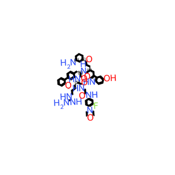 COc1ccccc1-c1ccc(C[C@H](NC(=O)[C@@H](CCC(=O)[C@H]2CCC[C@H](N)C2)Cc2c[nH]c3ccc(O)cc23)C(=O)N[C@@H](CCCCNC(=N)N)C(=O)NCC(=O)Nc2ccc(N3CCOCC3)c(F)c2)cc1